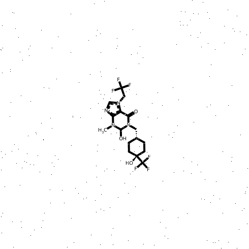 CN1c2ncn(CC(F)(F)F)c2C(=O)N(C[C@H]2CC[C@@](O)(C(F)(F)F)CC2)C1O